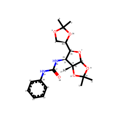 CC1(C)OC[C@H]([C@H]2OC3OC(C)(C)O[C@@H]3[C@H]2NC(=O)Nc2ccccc2)O1